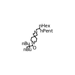 CCCCCCC(CCCCC)CN1CC2(CCN(C(=O)C(C)(CCCC)CCCC)CC2)C1